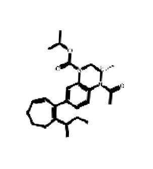 CCC(C)C1=C(c2ccc3c(c2)N(C(=O)OC(C)C)C[C@H](C)N3C(C)=O)C=CCCC1